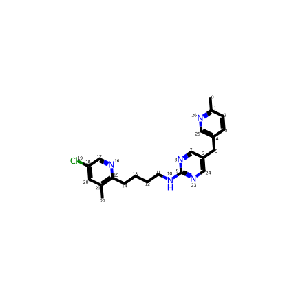 Cc1ccc(Cc2cnc(NCCCCc3ncc(Cl)cc3C)nc2)cn1